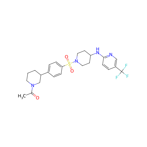 CC(=O)N1CCCC(c2ccc(S(=O)(=O)N3CCC(Nc4ccc(C(F)(F)F)cn4)CC3)cc2)C1